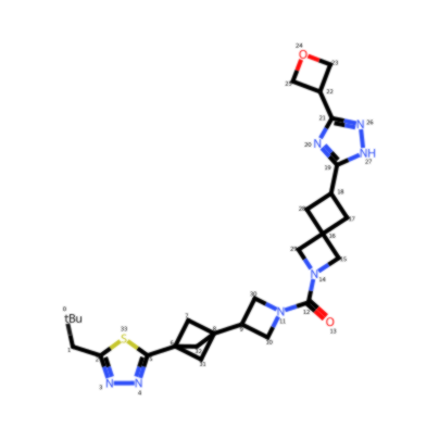 CC(C)(C)Cc1nnc(C23CC(C4CN(C(=O)N5CC6(CC(c7nc(C8COC8)n[nH]7)C6)C5)C4)(C2)C3)s1